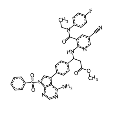 CCN(C(=O)c1cc(C#N)cnc1NC(CC(=O)OC)c1ccc(-c2cn(S(=O)(=O)c3ccccc3)c3ncnc(N)c23)cc1)c1ccc(F)cc1